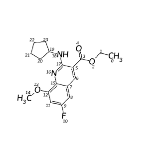 CCOC(=O)c1cc2cc(F)cc(OC)c2nc1NC1CCCC1